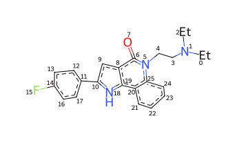 CCN(CC)CCn1c(=O)c2cc(-c3ccc(F)cc3)[nH]c2c2ccccc21